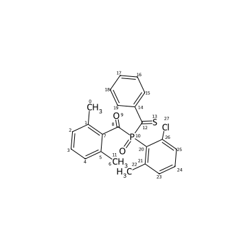 Cc1cccc(C)c1C(=O)P(=O)(C(=S)c1ccccc1)c1c(C)cccc1Cl